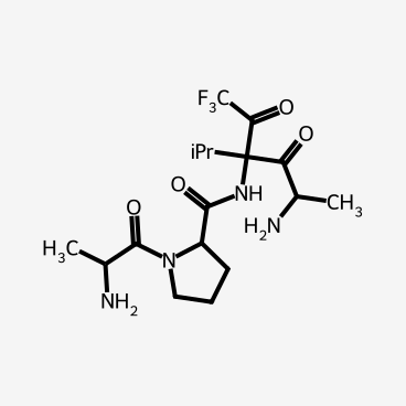 CC(N)C(=O)N1CCCC1C(=O)NC(C(=O)C(C)N)(C(=O)C(F)(F)F)C(C)C